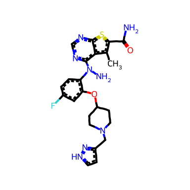 Cc1c(C(N)=O)sc2ncnc(N(N)c3ccc(F)cc3OC3CCN(Cc4cc[nH]n4)CC3)c12